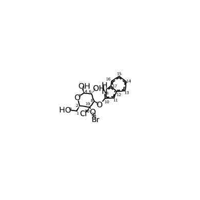 OC[C@H]1O[C@@H](O)[C@H](O)[C@@H](Oc2cc3ccccc3[nH]2)[C@]1(Cl)OBr